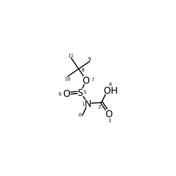 CN(C(=O)O)S(=O)OC(C)(C)C